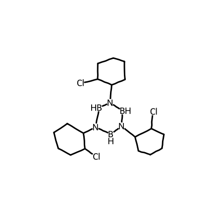 ClC1CCCCC1N1BN(C2CCCCC2Cl)BN(C2CCCCC2Cl)B1